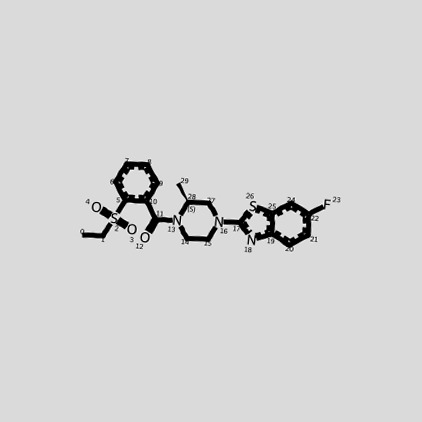 CCS(=O)(=O)c1ccccc1C(=O)N1CCN(c2nc3ccc(F)cc3s2)C[C@@H]1C